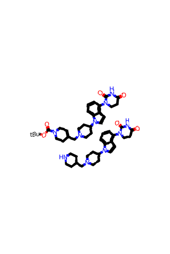 CC(C)(C)OC(=O)N1CCC(CN2CCC(n3ccc4c(N5CCC(=O)NC5=O)cccc43)CC2)CC1.O=C1CCN(c2cccc3c2ccn3C2CCN(CC3CCNCC3)CC2)C(=O)N1